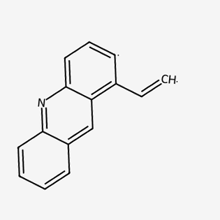 [CH]=Cc1[c]ccc2nc3ccccc3cc12